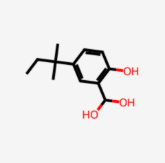 CCC(C)(C)c1ccc(O)c(C(O)O)c1